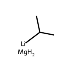 [Li][CH](C)C.[MgH2]